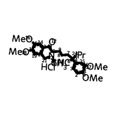 COc1ccc(C(C#N)(CCCC2C(=O)c3cc(OC)c(OC)cc3CN2C)C(C)C)cc1OC.Cl